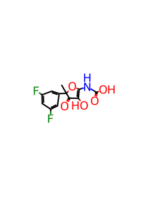 CC1(c2cc(F)cc(F)c2)OC(NC(=O)O)=C(O)C1=O